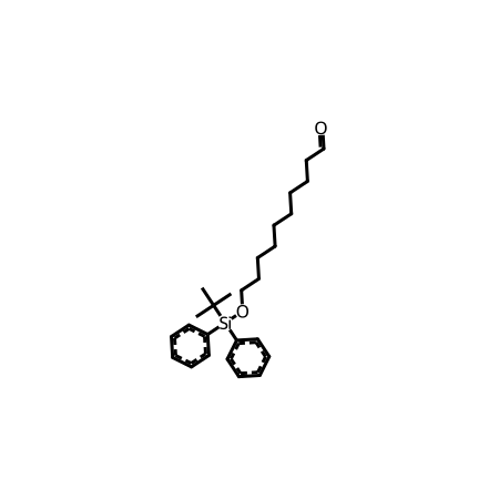 CC(C)(C)[Si](OCCCCCCCCCC=O)(c1ccccc1)c1ccccc1